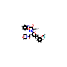 CCC[C@H](NC(=O)[C@@H](CC(=O)N1CCOCC1)CC(C)(C)Cc1ccccc1OC(F)F)C(=O)c1nc2ccccc2o1